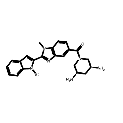 CCn1c(-c2nc3cc(C(=O)N4C[C@H](N)C[C@H](N)C4)ccc3n2C)cc2ccccc21